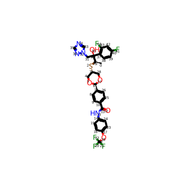 C[C@@H](S[C@H]1CO[C@H](c2ccc(C(=O)Nc3ccc(OC(F)(F)F)cc3)cc2)OC1)[C@](O)(Cn1cncn1)c1ccc(F)cc1F